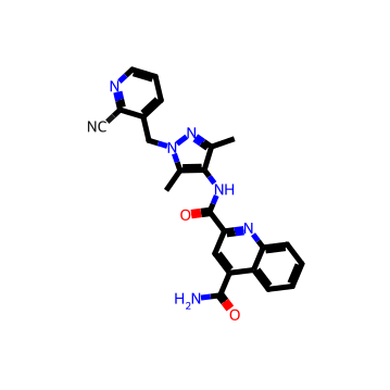 Cc1nn(Cc2cccnc2C#N)c(C)c1NC(=O)c1cc(C(N)=O)c2ccccc2n1